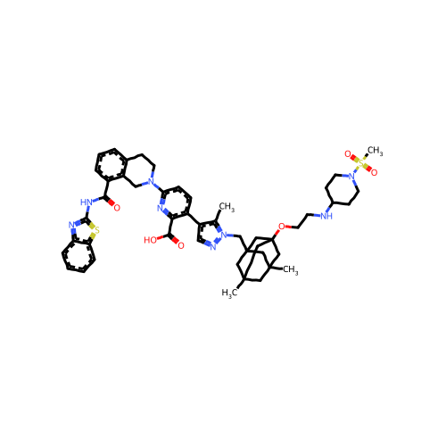 Cc1c(-c2ccc(N3CCc4cccc(C(=O)Nc5nc6ccccc6s5)c4C3)nc2C(=O)O)cnn1CC12CC3(C)CC(C)(C1)CC(OCCNC1CCN(S(C)(=O)=O)CC1)(C3)C2